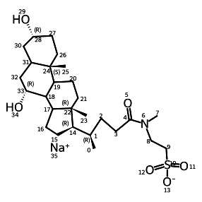 C[C@H](CCC(=O)N(C)CCS(=O)(=O)[O-])[C@H]1CCC2C3C(CC[C@@]21C)[C@@]1(C)CC[C@@H](O)CC1C[C@H]3O.[Na+]